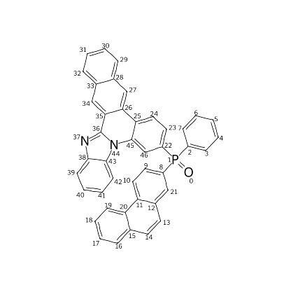 O=P(c1ccccc1)(c1ccc2c(ccc3ccccc32)c1)c1ccc2c3cc4ccccc4cc3c3nc4ccccc4n3c2c1